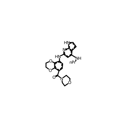 CCCNc1cc(Nc2ccc(C(=O)N3CCOCC3)c3c2OCCO3)nc2[nH]ccc12